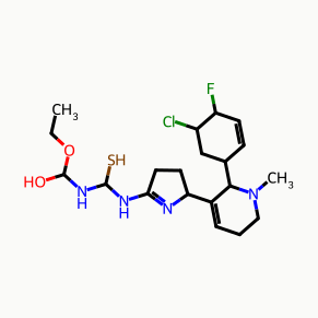 CCOC(O)NC(S)NC1=NC(C2=CCCN(C)C2C2C=CC(F)C(Cl)C2)CC1